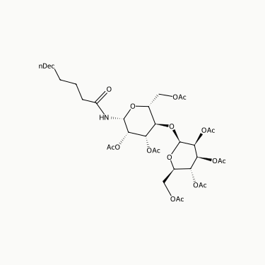 CCCCCCCCCCCCCC(=O)N[C@@H]1O[C@H](COC(C)=O)[C@@H](O[C@@H]2O[C@H](COC(C)=O)[C@@H](OC(C)=O)[C@H](OC(C)=O)[C@@H]2OC(C)=O)[C@H](OC(C)=O)[C@@H]1OC(C)=O